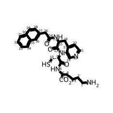 NCCCCC(NC(=O)[C@H](CS)NC(=O)C(Cc1ccncc1)NC(=O)Cc1ccc2ccccc2c1)C(=O)O